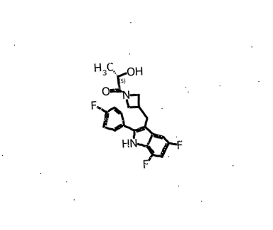 C[C@H](O)C(=O)N1CC(Cc2c(-c3ccc(F)cc3)[nH]c3c(F)cc(F)cc23)C1